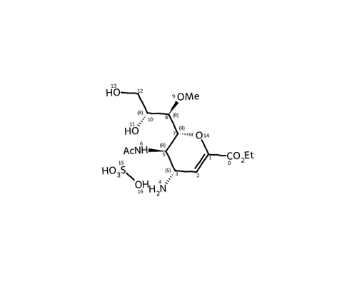 CCOC(=O)C1=C[C@H](N)[C@@H](NC(C)=O)[C@H]([C@H](OC)[C@H](O)CO)O1.O=S(=O)(O)O